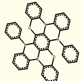 c1ccc(N2c3ccccc3B3c4ccccc4Oc4c3c2c2c3c4N(c4ccccc4)c4ccccc4B3c3ccccc3O2)cc1